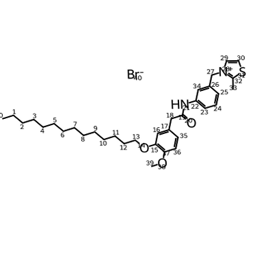 CCCCCCCCCCCCCCOc1cc(CC(=O)Nc2cccc(C[n+]3ccsc3C)c2)ccc1OC.[Br-]